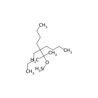 CCCCC(CCCC)(CCCC)C(C)(C)O[SiH3]